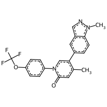 Cc1cc(=O)n(-c2ccc(OC(F)(F)F)cc2)cc1-c1ccc2c(cnn2C)c1